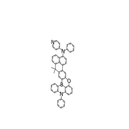 CC1(C)c2cc3c(cc2-c2ccc(N(c4ccccc4)c4ccncc4)c4cccc1c24)Oc1cccc2c1B3c1ccccc1N2c1ccccc1